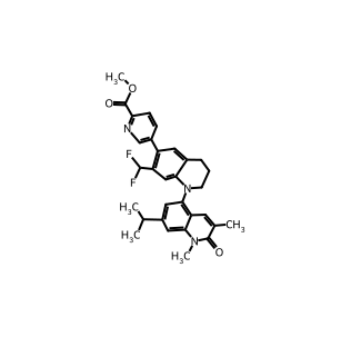 COC(=O)c1ccc(-c2cc3c(cc2C(F)F)N(c2cc(C(C)C)cc4c2cc(C)c(=O)n4C)CCC3)cn1